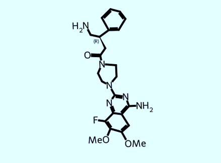 COc1cc2c(N)nc(N3CCN(C(=O)C[C@@H](CN)c4ccccc4)CC3)nc2c(F)c1OC